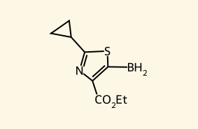 Bc1sc(C2CC2)nc1C(=O)OCC